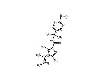 BC(B)(NC(=O)c1sc(N)c(/C(C)=C(/C)N)c1N)c1ccc(OC)cc1